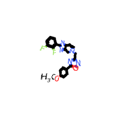 COc1ccc(-c2nc(Cn3ccc4nc(-c5cccc(F)c5F)nc-4c3)no2)cc1